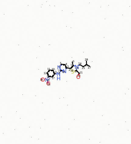 CC1=C(c2ccnc(Nc3cccc([N+](=O)[O-])c3)n2)SC(C=O)N1CCC(C)C